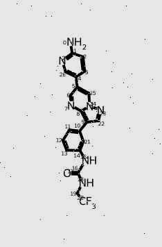 Nc1ccc(-c2cnc3c(-c4cccc(NC(=O)NCC(F)(F)F)c4)cnn3c2)cn1